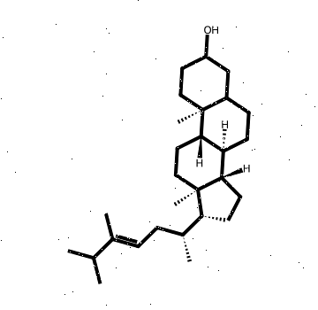 C/C(=C\C[C@@H](C)[C@H]1CC[C@H]2[C@@H]3CCC4CC(O)CC[C@]4(C)[C@H]3CC[C@]12C)C(C)C